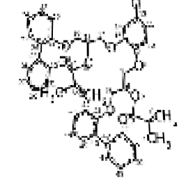 C=C(C)C(=O)OC(COc1ccc(Cl)cc1OCC(COc1ccccc1-c1ccccc1)OC(=O)C(=C)C)COc1ccccc1-c1ccccc1